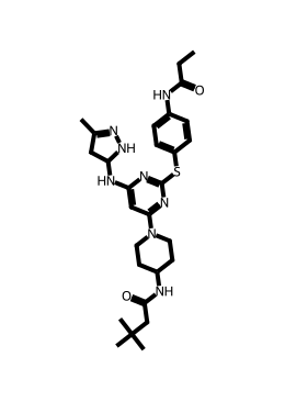 CCC(=O)Nc1ccc(Sc2nc(NC3CC(C)=NN3)cc(N3CCC(NC(=O)CC(C)(C)C)CC3)n2)cc1